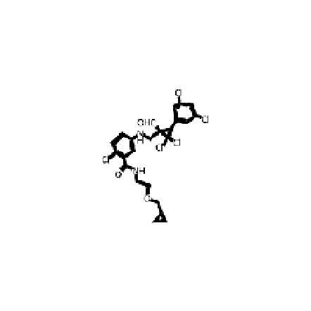 O=CC1(CNc2ccc(Cl)c(C(=O)NCCOCC3CC3)c2)C(c2cc(Cl)cc(Cl)c2)C1(Cl)Cl